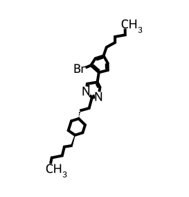 CCCCCc1ccc(-c2cnc(CC[C@H]3CC[C@H](CCCCC)CC3)nc2)c(Br)c1